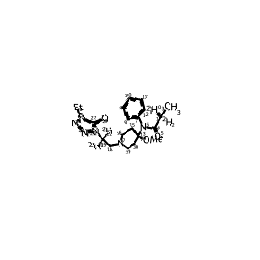 [2H]C([2H])(C)C(=O)N(c1ccccc1)C1(OC)CCN(CC([2H])([2H])n2nnn(CC)c2=O)CC1